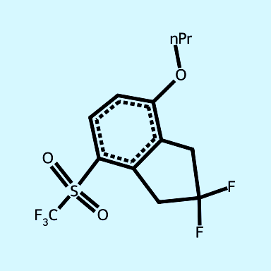 CCCOc1ccc(S(=O)(=O)C(F)(F)F)c2c1CC(F)(F)C2